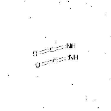 N=C=O.N=C=O